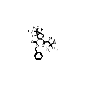 CCC(C)(C)[C@H](N)C(=O)N1C[C@H]2[C@@H]([C@H]1C(=O)OCc1ccccc1)C2(C)C